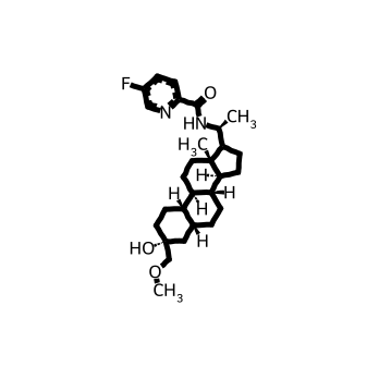 COC[C@@]1(O)CC[C@H]2[C@H](CC[C@@H]3[C@@H]2CC[C@]2(C)C([C@H](C)NC(=O)c4ccc(F)cn4)CC[C@@H]32)C1